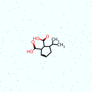 CC(C)C1CC=CC(C(=O)O)C1C(=O)O